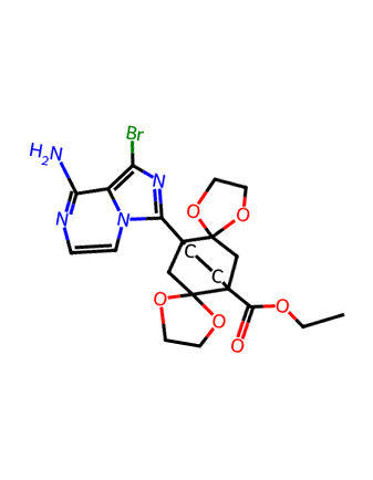 CCOC(=O)C12CCC(c3nc(Br)c4c(N)nccn34)(CC13OCCO3)C1(C2)OCCO1